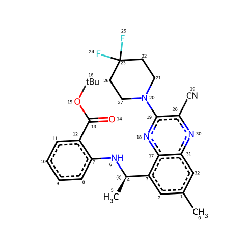 Cc1cc([C@@H](C)Nc2ccccc2C(=O)OC(C)(C)C)c2nc(N3CCC(F)(F)CC3)c(C#N)nc2c1